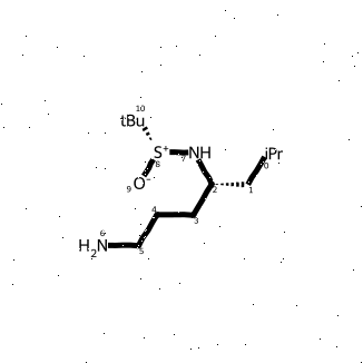 CC(C)C[C@H](CCCN)N[S@+]([O-])C(C)(C)C